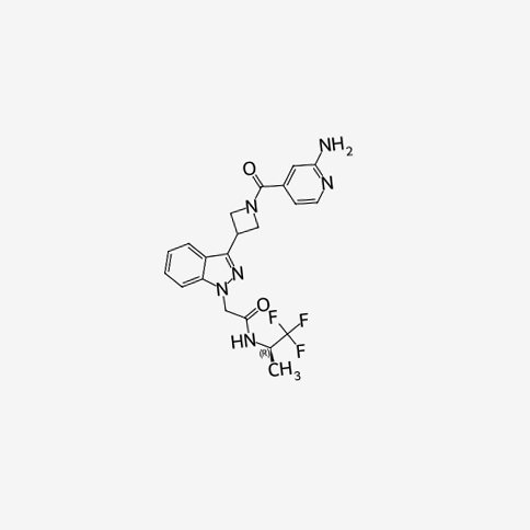 C[C@@H](NC(=O)Cn1nc(C2CN(C(=O)c3ccnc(N)c3)C2)c2ccccc21)C(F)(F)F